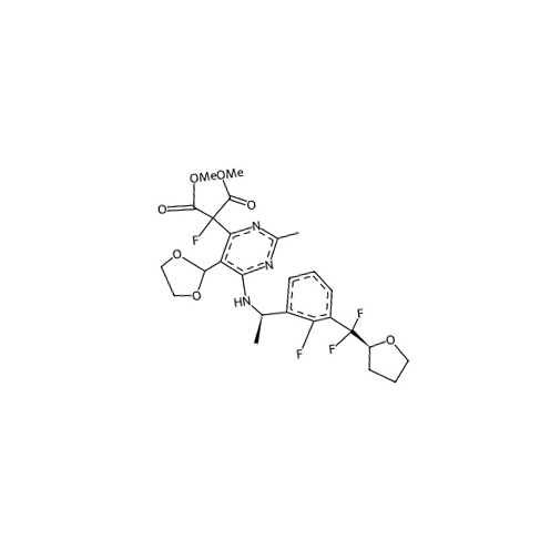 COC(=O)C(F)(C(=O)OC)c1nc(C)nc(N[C@H](C)c2cccc(C(F)(F)[C@@H]3CCCO3)c2F)c1C1OCCO1